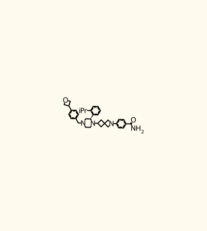 CC(C)c1ccccc1[C@@H]1CN(Cc2ccc(C3COC3)cc2)CCN1C1CC2(C1)CN(c1ccc(C(N)=O)cc1)C2